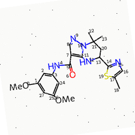 COc1cc(NC(=O)c2cnn3c2NC(c2ncc(C)s2)CC3(C)C)cc(OC)c1